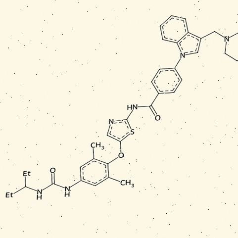 CCC(CC)NC(=O)Nc1cc(C)c(Oc2cnc(NC(=O)c3ccc(-n4cc(CN5CCCCC5)c5ccccc54)cc3)s2)c(C)c1